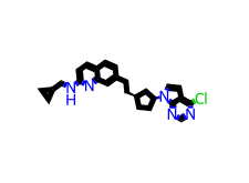 Clc1ncnc2c1ccn2[C@H]1CC[C@@H](CCc2ccc3ccc(NCC4CC4)nc3c2)C1